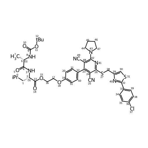 CC(C)C[C@H](NC(=O)[C@H](C)NC(=O)OC(C)(C)C)C(=O)OCCOc1ccc(-c2c(C#N)c(SCc3csc(-c4ccc(Cl)cc4)n3)nc(N3CCCC3)c2C#N)cc1